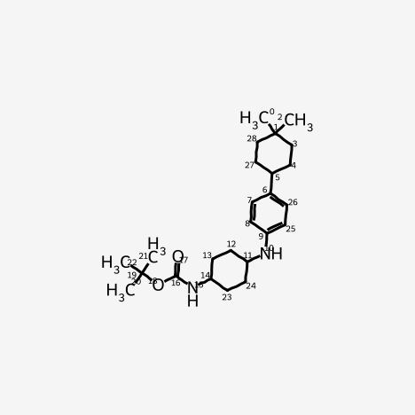 CC1(C)CCC(c2ccc(NC3CCC(NC(=O)OC(C)(C)C)CC3)cc2)CC1